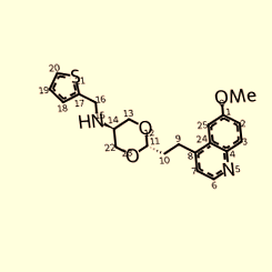 COc1ccc2nccc(CC[C@H]3OC[C@H](NCc4cccs4)CO3)c2c1